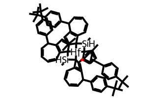 CC1=CC2=C(C=CC=CC2c2ccc(C(C)(C)C)cc2)[C]12[SiH](C)[C]1(C(C)=CC3=C1C=CC=CC3c1ccc(C(C)(C)C)cc1)[Hf]21[C]2(C(C)=CC3=C2C=CC=CC3c2ccc(C(C)(C)C)cc2)[SiH](C)[C]12C(C)=CC1=C2C=CC=CC1c1ccc(C(C)(C)C)cc1